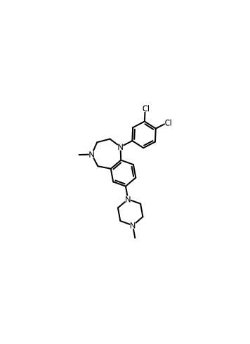 CN1CCN(c2ccc3c(c2)CN(C)CCN3c2ccc(Cl)c(Cl)c2)CC1